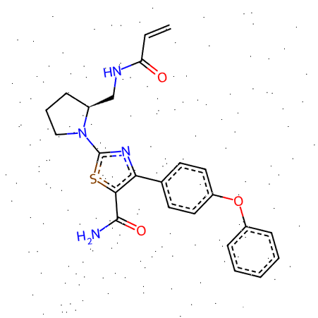 C=CC(=O)NC[C@@H]1CCCN1c1nc(-c2ccc(Oc3ccccc3)cc2)c(C(N)=O)s1